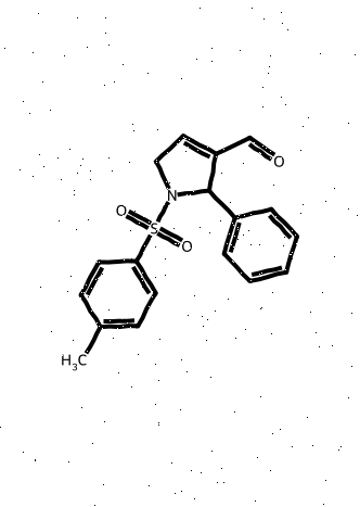 Cc1ccc(S(=O)(=O)N2CC=C(C=O)C2c2ccccc2)cc1